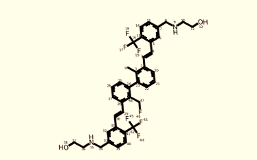 Cc1c(/C=C/c2cc(CNCCO)ccc2C(F)(F)F)cccc1-c1cccc(/C=C/c2cc(CNCCO)ccc2C(F)(F)F)c1CF